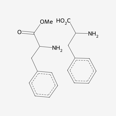 COC(=O)C(N)Cc1ccccc1.NC(Cc1ccccc1)C(=O)O